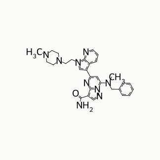 CN1CCN(CCn2cc(-c3cc(N(C)Cc4ccccc4)n4ncc(C(N)=O)c4n3)c3cccnc32)CC1